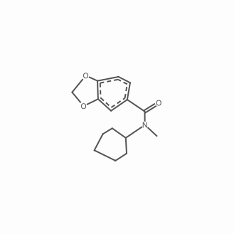 CN(C(=O)c1ccc2c(c1)OCO2)C1CCCCC1